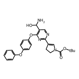 CC(C)(C)OC(=O)N1C=C(c2ncc(C(N)O)c(Oc3ccc(Oc4ccccc4)cc3)n2)CC1